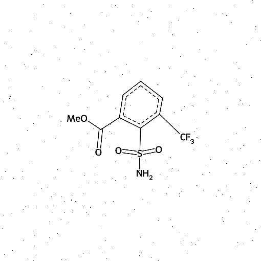 COC(=O)c1cccc(C(F)(F)F)c1S(N)(=O)=O